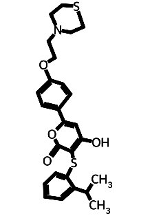 CC(C)c1ccccc1Sc1c(O)cc(-c2ccc(OCCN3CCSCC3)cc2)oc1=O